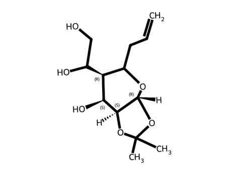 C=CCC1O[C@@H]2OC(C)(C)O[C@H]2[C@@H](O)[C@H]1C(O)CO